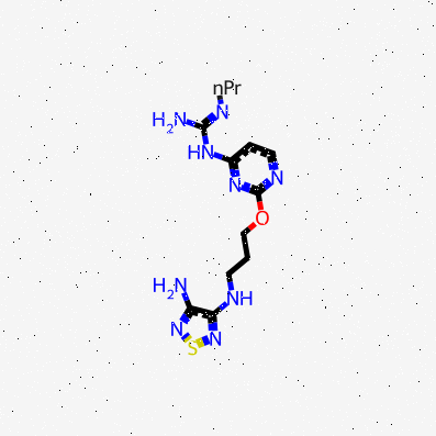 CCCN=C(N)Nc1ccnc(OCCCNc2nsnc2N)n1